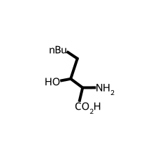 CCCCCC(O)C(N)C(=O)O